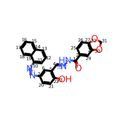 O=C(N/N=C/c1cc(/N=N\c2cccc3ccccc23)ccc1O)c1ccc2c(c1)OCO2